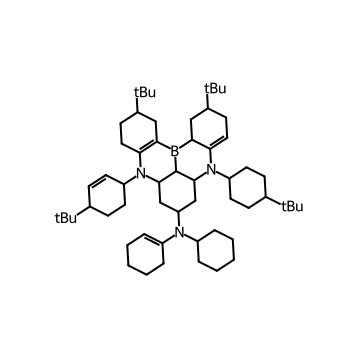 CC(C)(C)C1C=CC(N2C3=C(CC(C(C)(C)C)CC3)B3C4CC(C(C)(C)C)CC=C4N(C4CCC(C(C)(C)C)CC4)C4CC(N(C5=CCCCC5)C5CCCCC5)CC2C34)CC1